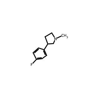 CN1CCC(c2ccc(F)cc2)C1